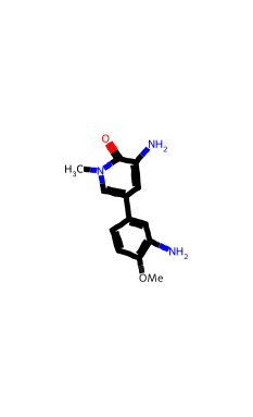 COc1ccc(-c2cc(N)c(=O)n(C)c2)cc1N